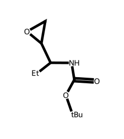 CCC(NC(=O)OC(C)(C)C)C1CO1